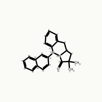 CC1(C)CC2Cc3ccccc3N(c3ccc4ccccc4c3)N2C1=O